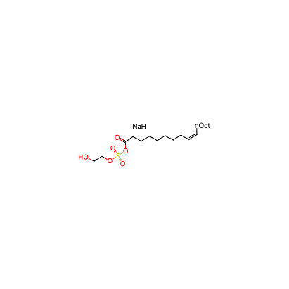 CCCCCCCC/C=C\CCCCCCCC(=O)OS(=O)(=O)OCCO.[NaH]